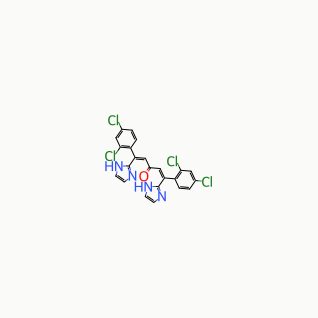 O=C(C=C(c1ncc[nH]1)c1ccc(Cl)cc1Cl)C=C(c1ncc[nH]1)c1ccc(Cl)cc1Cl